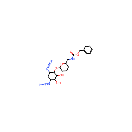 [N-]=[N+]=NC1CC(N=[N+]=[N-])C(OC2CCCC(CNC(=O)OCc3ccccc3)O2)C(O)C1O